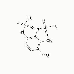 Cc1c(C(=O)O)ccc(NS(C)(=O)=O)c1NS(C)(=O)=O